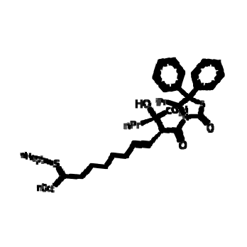 CCCCCCCCC(CCCCCC=C[C@H](C(=O)N1C(=O)SC(c2ccccc2)(c2ccccc2)C1C(C)C)[C@@](O)(CCC)C(=O)O)SCCCCCCC